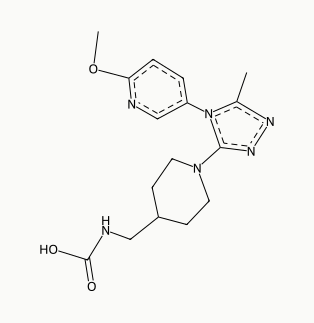 COc1ccc(-n2c(C)nnc2N2CCC(CNC(=O)O)CC2)cn1